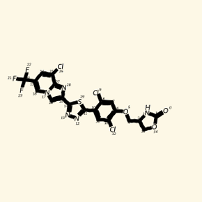 O=C1NC(COc2cc(Cl)c(-c3nnc(-c4cn5cc(C(F)(F)F)cc(Cl)c5n4)s3)cc2Cl)CO1